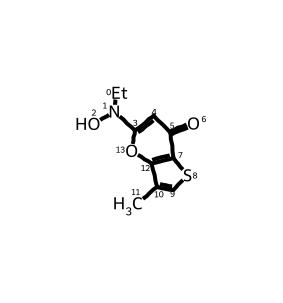 CCN(O)c1cc(=O)c2scc(C)c2o1